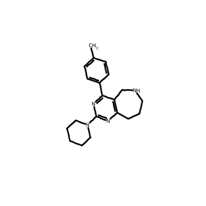 Cc1ccc(-c2nc(N3CCCCC3)nc3c2CNCCC3)cc1